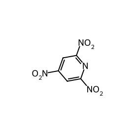 O=[N+]([O-])c1cc([N+](=O)[O-])nc([N+](=O)[O-])c1